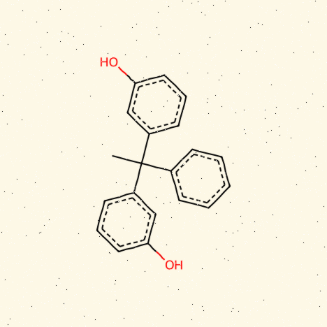 CC(c1ccccc1)(c1cccc(O)c1)c1cccc(O)c1